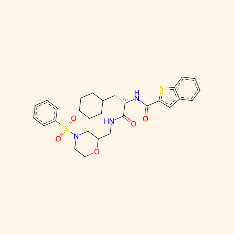 O=C(N[C@@H](CC1CCCCC1)C(=O)NCC1CN(S(=O)(=O)c2ccccc2)CCO1)c1cc2ccccc2s1